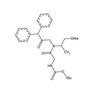 COCC(C)N(CC(=O)C(c1ccccc1)c1ccccc1)C(=O)CNC(=O)OC(C)(C)C